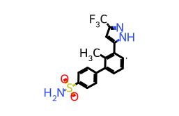 Cc1c(-c2cc(C(F)(F)F)n[nH]2)[c]ccc1-c1ccc(S(N)(=O)=O)cc1